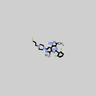 Cc1n[nH]c2c1N=C(c1c(F)cccc1F)Nc1c-2cc(N2CCN(CCCF)CC2)nc1C